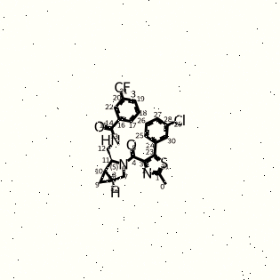 Cc1nc(C(=O)N2C[C@@H]3CC3[C@H]2CNC(=O)c2cccc(C(F)(F)F)c2)c(-c2cccc(Cl)c2)s1